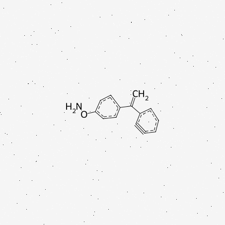 C=C(c1c#cccc1)c1ccc(ON)cc1